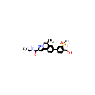 CC1Cn2nc(C(=O)NCC(F)(F)F)cc2-c2ccc(-c3ccc(CO)c(S(C)(=O)=O)c3)cc21